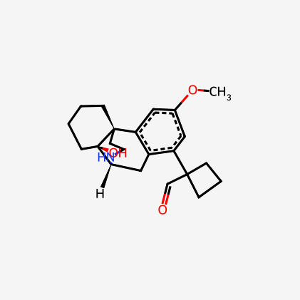 COc1cc(C2(C=O)CCC2)c2c(c1)[C@@]13CCCC[C@@]1(O)[C@@H](C2)NCC3